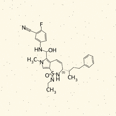 CCN=S1(=O)N[C@@H](C(C)CCc2ccccc2)C=Cc2c1cn(C)c2C(O)Nc1ccc(F)c(C#N)c1